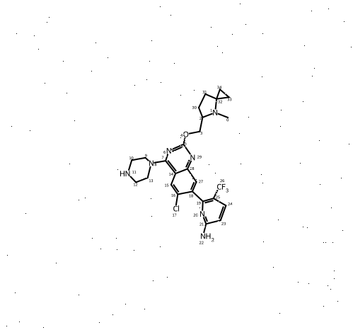 CN1C(COc2nc(N3CCNCC3)c3cc(Cl)c(-c4nc(N)ccc4C(F)(F)F)cc3n2)CCC12CC2